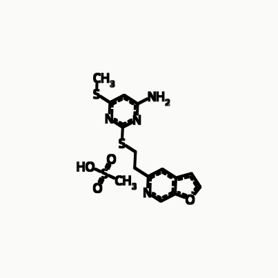 CS(=O)(=O)O.CSc1cc(N)nc(SCCc2cc3ccoc3cn2)n1